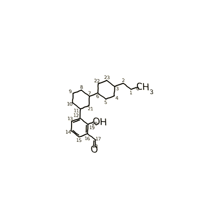 CCCC1CCC(C2CCCC(c3cccc(C=O)c3O)C2)CC1